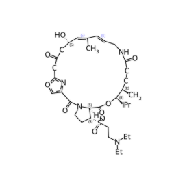 CCN(CC)CCS(=O)(=O)[C@@H]1CCN2C(=O)c3coc(n3)CC(=O)C[C@H](O)/C=C(C)/C=C/CNC(=O)CC[C@@H](C)[C@@H](C(C)C)OC(=O)[C@@H]12